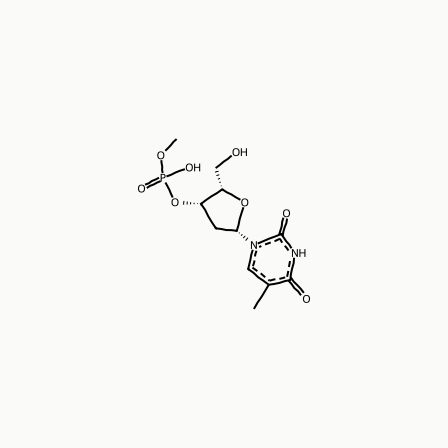 COP(=O)(O)O[C@H]1C[C@@H](n2cc(C)c(=O)[nH]c2=O)O[C@H]1CO